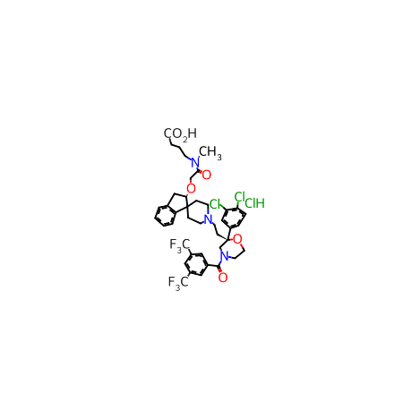 CN(CCCC(=O)O)C(=O)CO[C@H]1Cc2ccccc2C12CCN(CC[C@]1(c3ccc(Cl)c(Cl)c3)CN(C(=O)c3cc(C(F)(F)F)cc(C(F)(F)F)c3)CCO1)CC2.Cl